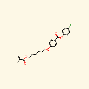 C=C(C)C(=O)OCCCCCCOc1ccc(C(=O)Oc2ccc(F)cc2)cc1